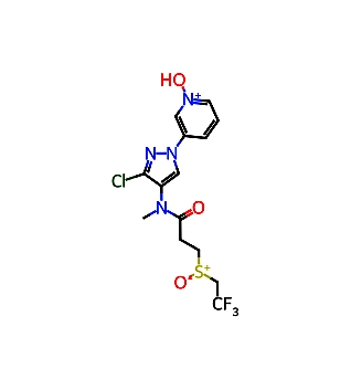 CN(C(=O)CC[S+]([O-])CC(F)(F)F)c1cn(-c2ccc[n+](O)c2)nc1Cl